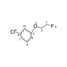 FCCOc1cccc(Cl)c1